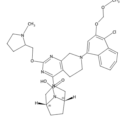 COCOc1cc(N2CCc3c(nc(OCC4CCCN4C)nc3N3C[C@H]4CC[C@@H](C3)N4C(=O)O)C2)c2ccccc2c1Cl